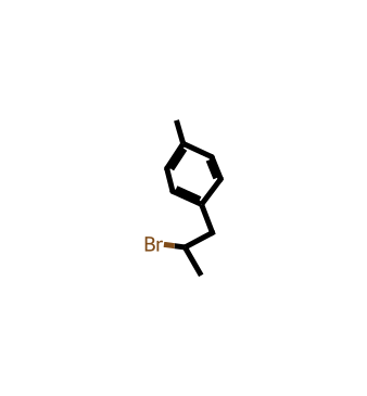 Cc1ccc(CC(C)Br)cc1